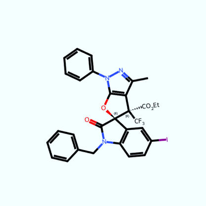 CCOC(=O)[C@@]1(C(F)(F)F)c2c(C)nn(-c3ccccc3)c2O[C@@]12C(=O)N(Cc1ccccc1)c1ccc(I)cc12